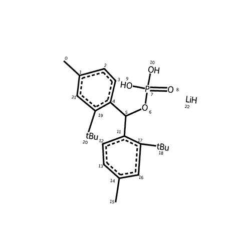 Cc1ccc(C(OP(=O)(O)O)c2ccc(C)cc2C(C)(C)C)c(C(C)(C)C)c1.[LiH]